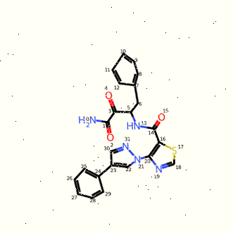 NC(=O)C(=O)C(Cc1ccccc1)NC(=O)c1scnc1-n1cc(-c2ccccc2)cn1